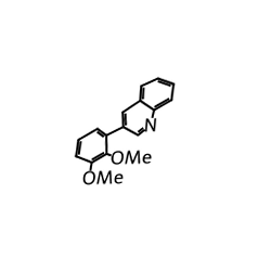 COc1cccc(-c2cnc3ccccc3c2)c1OC